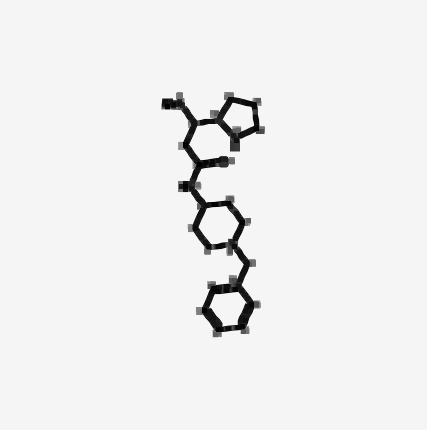 CSC(CC(=O)NC1CCN(Cc2ccccc2)CC1)C1CCCN1